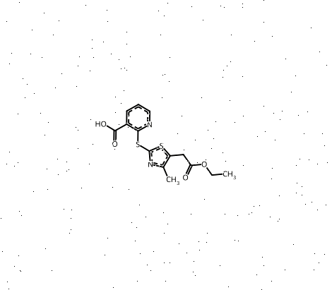 CCOC(=O)Cc1sc(Sc2ncccc2C(=O)O)nc1C